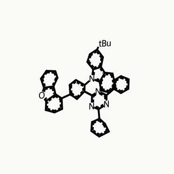 CC(C)(C)c1ccc2c(c1)c1ccccc1n2-c1ccc(-c2cccc3oc4ccccc4c23)cc1-c1nc(-c2ccccc2)nc(-c2ccccc2)n1